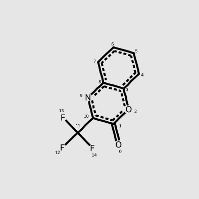 O=c1oc2ccccc2nc1C(F)(F)F